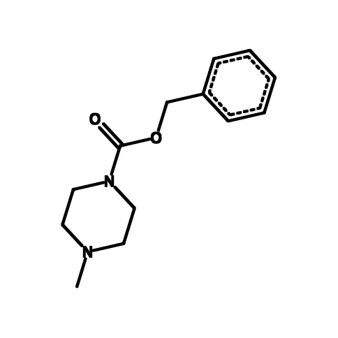 CN1CCN(C(=O)OCc2ccccc2)CC1